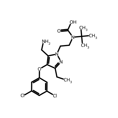 CCc1nn(CCN(C(=O)O)C(C)(C)C)c(CN)c1Oc1cc(Cl)cc(Cl)c1